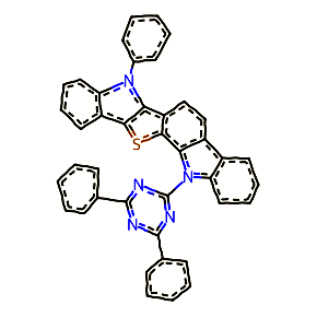 c1ccc(-c2nc(-c3ccccc3)nc(-n3c4ccccc4c4ccc5c(sc6c7ccccc7n(-c7ccccc7)c56)c43)n2)cc1